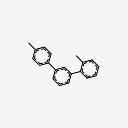 Cc1ccc(-c2cccc(-c3ccccc3C)c2)cc1